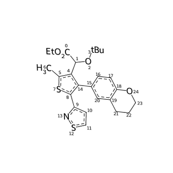 CCOC(=O)C(OC(C)(C)C)c1c(C)sc(-c2ccsn2)c1-c1ccc2c(c1)CCCO2